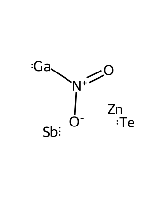 O=[N+]([O-])[Ga].[Sb].[Te].[Zn]